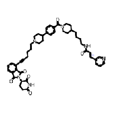 O=C(/C=C/c1cccnc1)NCCCCC1CCN(C(=O)c2ccc(C3CCN(CCCCC#Cc4cccc5c4C(=O)N(C4CCC(=O)NC4=O)C5=O)CC3)cc2)CC1